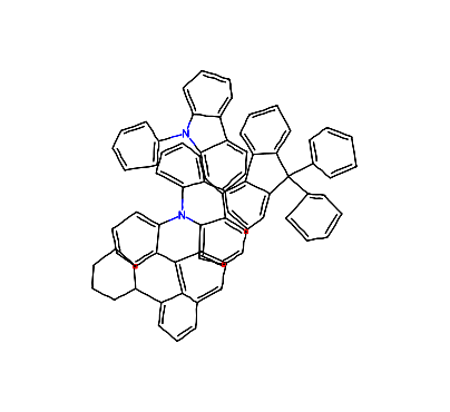 c1ccc(-n2c3ccccc3c3ccc(-c4ccccc4N(c4ccccc4-c4cccc5c4-c4ccccc4C5(c4ccccc4)c4ccccc4)c4ccccc4-c4cccc5cccc(C6CCCCC6)c45)cc32)cc1